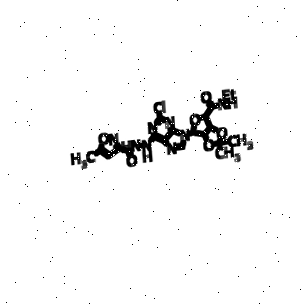 CCNC(=O)C1OC(n2cnc3c(NNC(=O)c4cc(C)on4)nc(Cl)nc32)C2OC(C)(C)OC12